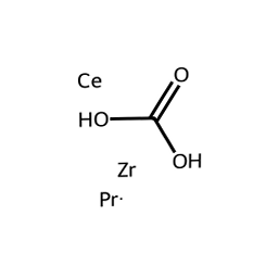 O=C(O)O.[Ce].[Pr].[Zr]